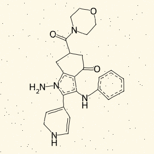 Nn1c2c(c(Nc3ccccc3)c1C1=CCNC=C1)C(=O)CC(C(=O)N1CCOCC1)C2